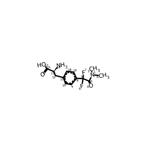 CN(C)C(=O)C(F)(F)c1ccc(C[C@H](N)C(=O)O)cc1